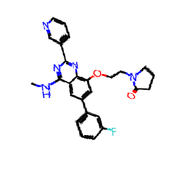 CNc1nc(-c2cccnc2)nc2c(OCCN3CCCC3=O)cc(-c3cccc(F)c3)cc12